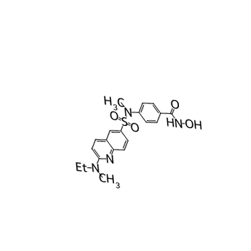 CCN(C)c1ccc2cc(S(=O)(=O)N(C)c3ccc(C(=O)NO)cc3)ccc2n1